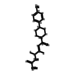 C=C(NC(C)/C(C)=C/C(=O)N1CCC(c2ccc(C#N)cc2)CC1)OC